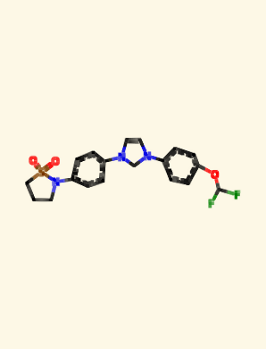 O=S1(=O)CCCN1c1ccc(N2C=CN(c3ccc(OC(F)F)cc3)C2)cc1